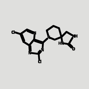 O=C1NCC2(CCCN(c3nc(Cl)nc4cc(Cl)cnc34)C2)N1